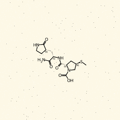 CS[C@@H]1C[C@@H](C(=O)N[C@@H](C[C@@H]2CCNC2=O)C(N)=O)N(C(=O)O)C1